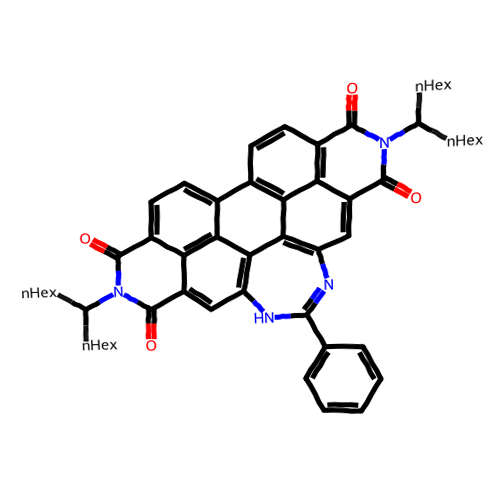 CCCCCCC(CCCCCC)n1c(=O)c2ccc3c4ccc5c(=O)n(C(CCCCCC)CCCCCC)c(=O)c6cc7[nH]c(-c8ccccc8)nc8cc(c1=O)c2c3c8c7c4c56